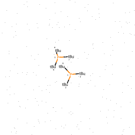 CC(C)(C)P(C(C)(C)C)C(C)(C)C.CC(C)(C)P(C(C)(C)C)C(C)(C)C